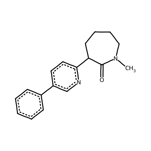 CN1CCCCC(c2ccc(-c3ccccc3)cn2)C1=O